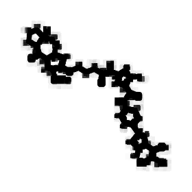 CCN(CC)C(=O)c1cc(-c2ccc(NC(=O)c3cc(NC(=O)CCCOc4cc5c(cc4OC)C(=O)N4CCC[C@H]4C=N5)cn3C)cc2)cn1C